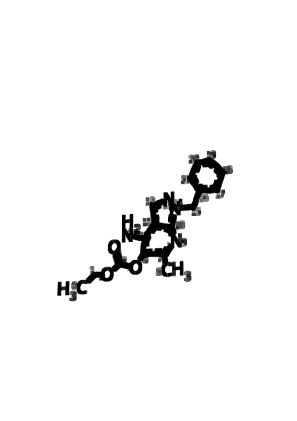 CCOC(=O)Oc1c(C)nc2c(cnn2Cc2ccccc2)c1N